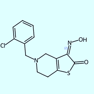 O=C1SC2=C(CN(Cc3ccccc3Cl)CC2)/C1=N/O